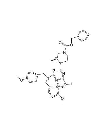 COc1ccc(CN(Cc2ccc(OC)cc2)c2nc(N3CCN(C(=O)OCc4ccccc4)C[C@@H]3C)nc3c(I)cnn23)cc1